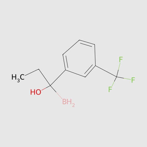 BC(O)(CC)c1cccc(C(F)(F)F)c1